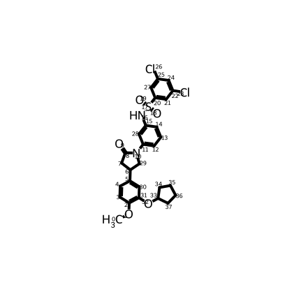 COc1ccc(C2CC(=O)N(c3cccc(NS(=O)(=O)c4cc(Cl)cc(Cl)c4)c3)C2)cc1OC1CCCC1